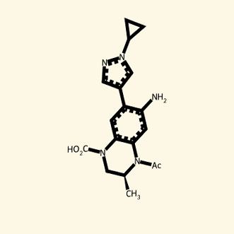 CC(=O)N1c2cc(N)c(-c3cnn(C4CC4)c3)cc2N(C(=O)O)C[C@@H]1C